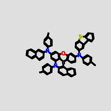 Cc1ccc(N(c2cc3c4c(c2)N(c2ccc(C)cc2)c2ccc5ccccc5c2B4c2ccc(N(c4ccc(C)cc4)c4ccc5sc6ccccc6c5c4)cc2O3)c2ccc3ccccc3c2)cc1